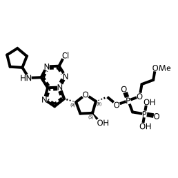 COCCOP(=O)(CP(=O)(O)O)OC[C@H]1O[C@@H](c2cnc3c(NC4CCCC4)nc(Cl)nn23)C[C@@H]1O